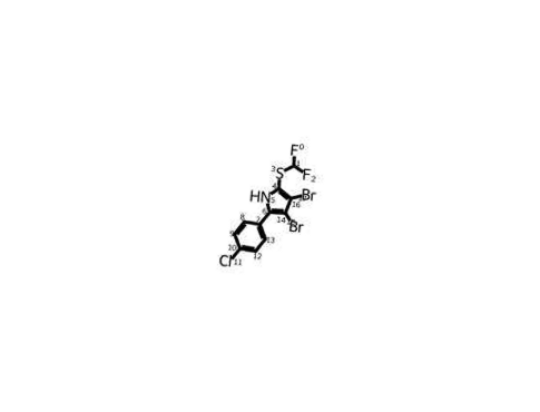 FC(F)Sc1[nH]c(-c2ccc(Cl)cc2)c(Br)c1Br